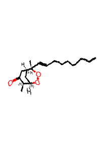 CCCCCCCC=C[C@]1(C)OO[C@@H]2C[C@H]1CC(=O)[C@@H]2C